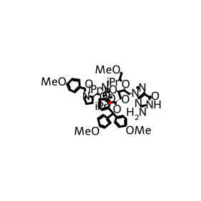 COCCO[C@@H]1[C@H](OP(=O)(OC[C@H]2CCCN2C(=O)c2ccc(OC)cc2)N(C(C)C)C(C)C)[C@@H](C(OC(c2ccccc2)(c2ccc(OC)cc2)c2ccc(OC)cc2)C(=O)C(C)C)O[C@H]1n1cnc2c(=O)[nH]c(N)nc21